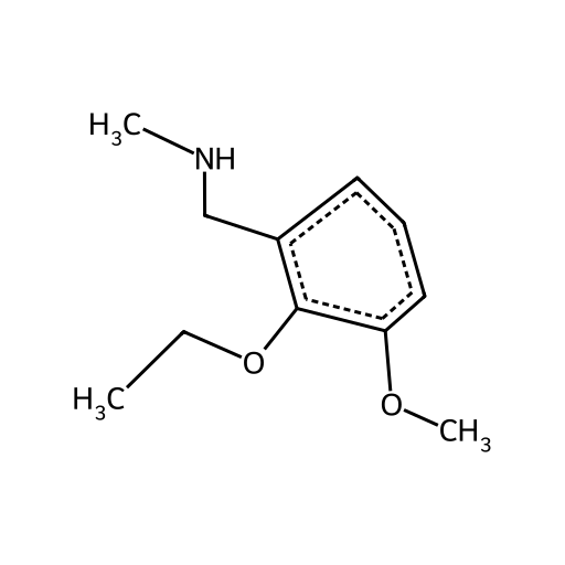 CCOc1c(CNC)cccc1OC